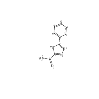 NC(=O)c1nnc(-c2ccncc2)s1